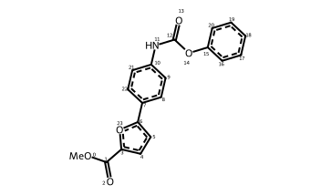 COC(=O)c1ccc(-c2ccc(NC(=O)Oc3ccccc3)cc2)o1